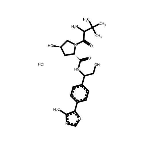 Cc1ncsc1-c1ccc(C(CO)NC(=O)[C@@H]2C[C@@H](O)CN2C(=O)C(N)C(C)(C)C)cc1.Cl